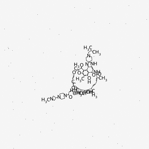 C/C1=C/C=C/C(C)[C@H](O)[C@@H](C)C(O)[C@@H](C)[C@H](OC(=O)CC(=O)N2CCN(C3CN(C)C3)CC2)CC/C=C/O[C@@]2(C)Oc3c(C)c(O)c4c(c3C2=O)C2=NC3(CCN(CC(C)C)CC3)NC2=C(NC1=O)C4=O